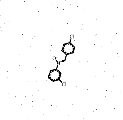 [O-][N+](=Cc1ccc(Cl)cc1)c1cccc(Cl)c1